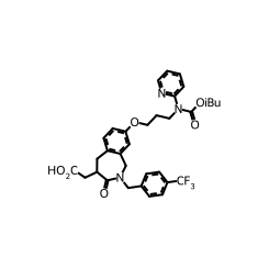 CC(C)COC(=O)N(CCCOc1ccc2c(c1)CN(Cc1ccc(C(F)(F)F)cc1)C(=O)C(CC(=O)O)C2)c1ccccn1